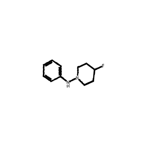 FC1CCN(Nc2ccccc2)CC1